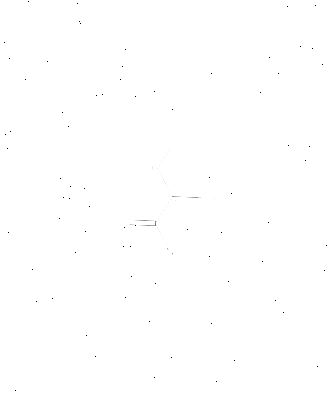 NC(=O)C(Cl)CO